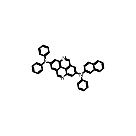 c1ccc(N(c2ccccc2)c2cc3cnc4cc(N(c5ccccc5)c5ccc6ccccc6c5)cc5cnc(c2)c3c54)cc1